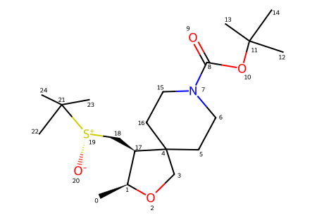 C[C@@H]1OCC2(CCN(C(=O)OC(C)(C)C)CC2)[C@@H]1C[S@+]([O-])C(C)(C)C